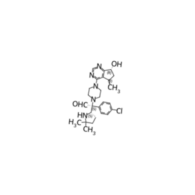 C[C@@H]1C[C@@H](O)c2ncnc(N3CCN([C@@](C=O)(c4ccc(Cl)cc4)[C@@H]4CCC(C)(C)N4)CC3)c21